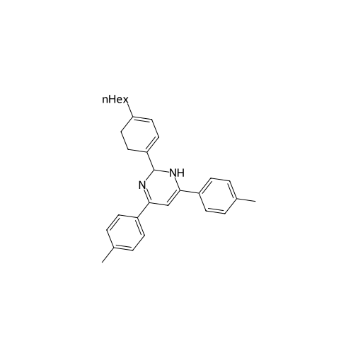 CCCCCCC1=CC=C(C2N=C(c3ccc(C)cc3)C=C(c3ccc(C)cc3)N2)CC1